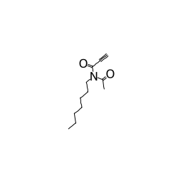 C#CC(=O)N(CCCCCCC)C(C)=O